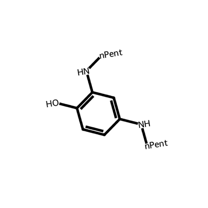 CCCCCNc1ccc(O)c(NCCCCC)c1